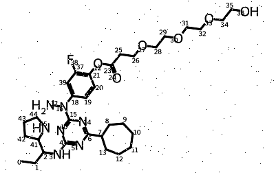 CCC(Nc1nc(C2CCCCCC2)nc(N(N)c2ccc(OC(=O)CCOCCOCCOCCO)c(F)c2)n1)C1CCCN1